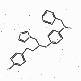 CN(Cc1ccccc1)c1ccc(OC(CCc2ccc(Cl)cc2)Cn2ccnc2)cc1